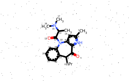 CCCC1C(=O)c2[nH]c(C)cc2N(C(=O)C(C)N(C)C)c2ccccc21